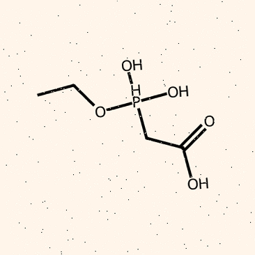 CCO[PH](O)(O)CC(=O)O